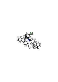 CC1(C)c2ccccc2-c2ccc(N(c3cccc(Cl)c3)c3cccc4c3C(C)(C)c3ccccc3-4)cc21